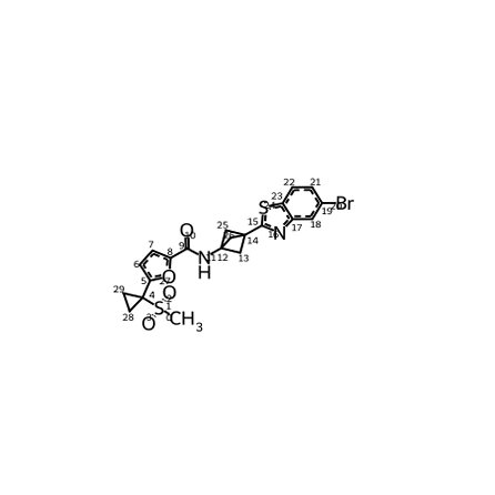 CS(=O)(=O)C1(c2ccc(C(=O)NC34CC(c5nc6cc(Br)ccc6s5)(C3)C4)o2)CC1